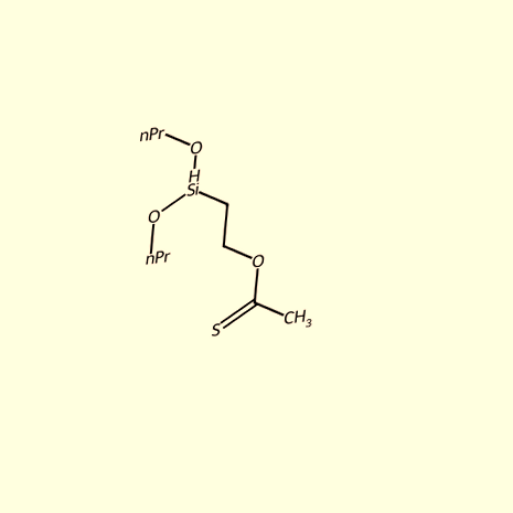 CCCO[SiH](CCOC(C)=S)OCCC